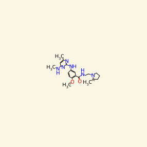 CNc1cc(C)nc(Nc2ccc(OC)c(C(=O)NCCN3CCC[C@@H]3C)c2)n1